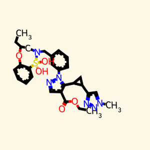 CCOC(=O)c1cnn(-c2cccc(CN3CC(CC)Oc4ccccc4S3(O)O)c2)c1C1CC1c1cn(C)nn1